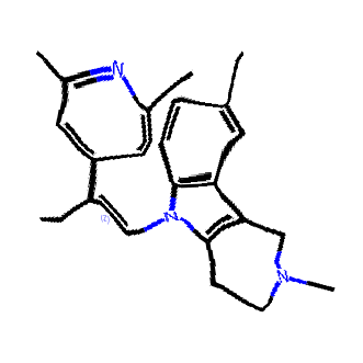 C/C(=C/n1c2c(c3cc(C)ccc31)CN(C)CC2)c1cc(C)nc(C)c1